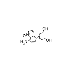 Nc1ccc(N(CCO)CCO)c2ccc[n+]([O-])c12